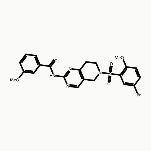 COc1cccc(C(=O)Nc2ncc3c(n2)CCN(S(=O)(=O)c2cc(Br)ccc2OC)C3)c1